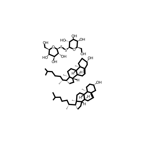 CC(C)CCC[C@@H](C)[C@H]1CC[C@H]2[C@@H]3CC=C4C[C@@H](O)CC[C@]4(C)[C@H]3CC[C@]12C.CC(C)CCC[C@@H](C)[C@H]1CC[C@H]2[C@@H]3CC=C4C[C@@H](O)CC[C@]4(C)[C@H]3CC[C@]12C.OC[C@H]1O[C@@H](SS[C@@H]2O[C@H](CO)[C@@H](O)[C@H](O)[C@H]2O)[C@H](O)[C@@H](O)[C@@H]1O